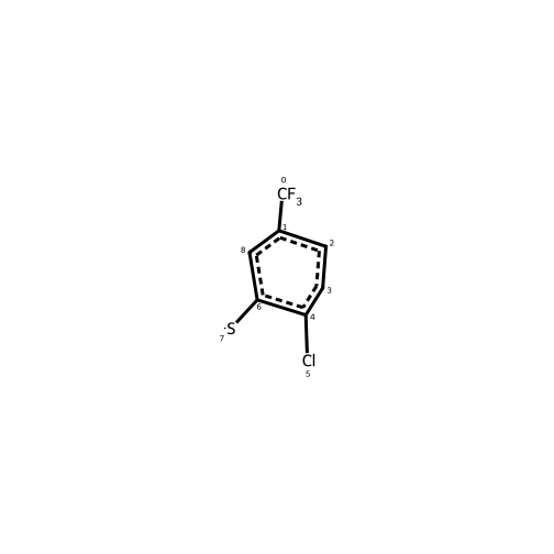 FC(F)(F)c1ccc(Cl)c([S])c1